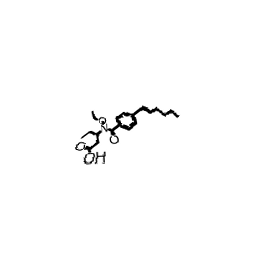 CCCC/C=C/c1ccc(C(=O)N(OCC)C(CC)CC(=O)O)cc1